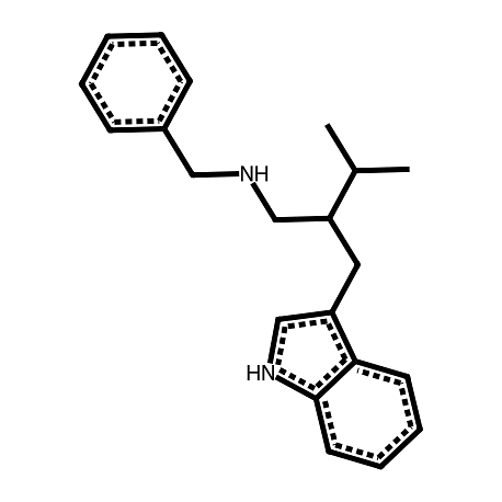 CC(C)C(CNCc1ccccc1)Cc1c[nH]c2ccccc12